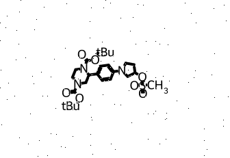 CC(C)(C)OC(=O)N1CCN(C(=O)OC(C)(C)C)C(c2ccc(N3CCC(OS(C)(=O)=O)C3)cc2)C1